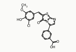 COc1cc(/C=c2/sc3ncc(-c4cccc(C(=O)O)c4)n3c2=O)cc(Cl)c1O